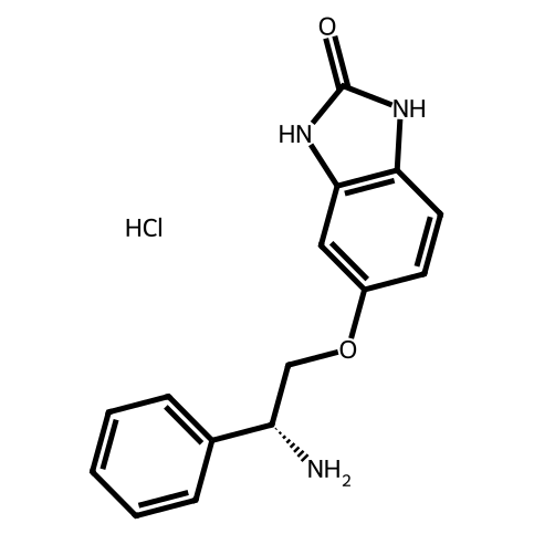 Cl.N[C@@H](COc1ccc2[nH]c(=O)[nH]c2c1)c1ccccc1